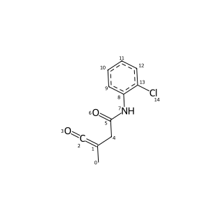 CC(=C=O)CC(=O)Nc1ccccc1Cl